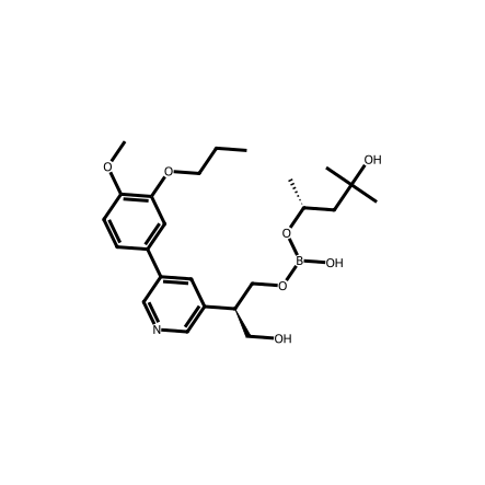 CCCOc1cc(-c2cncc([C@H](CO)COB(O)O[C@H](C)CC(C)(C)O)c2)ccc1OC